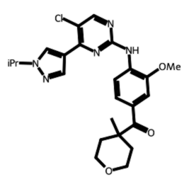 COc1cc(C(=O)C2(C)CCOCC2)ccc1Nc1ncc(Cl)c(-c2cnn(C(C)C)c2)n1